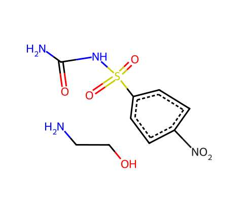 NC(=O)NS(=O)(=O)c1ccc([N+](=O)[O-])cc1.NCCO